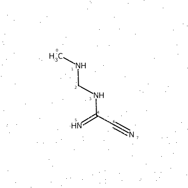 CNCNC(=N)C#N